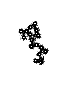 c1ccc(-n2c3ccccc3c3cc(-c4ccc5c6ccccc6n(-c6ccc7c(c6)c6c(-c8ccccc8-c8ccc(-n9c%10ccccc%10c%10cc(-c%11ccc%12c%13ccccc%13n(-c%13cccc(-c%14nc%15cccc%16c%17ccccc%17c%14n%15%16)c%13)c%12c%11)ccc%109)cc8)nc8cccc7n86)c5c4)ccc32)cc1